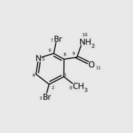 Cc1c(Br)cnc(Br)c1C(N)=O